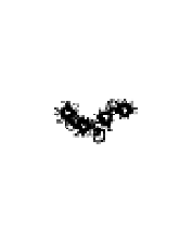 [O-][S+](c1ccc(Oc2ccccc2)cc1)c1ccc(Oc2ccccc2)cc1